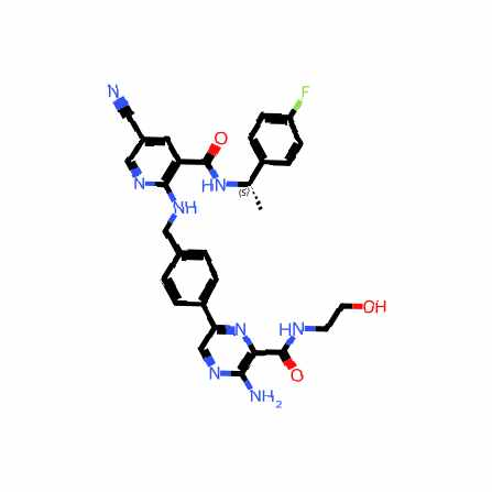 C[C@H](NC(=O)c1cc(C#N)cnc1NCc1ccc(-c2cnc(N)c(C(=O)NCCO)n2)cc1)c1ccc(F)cc1